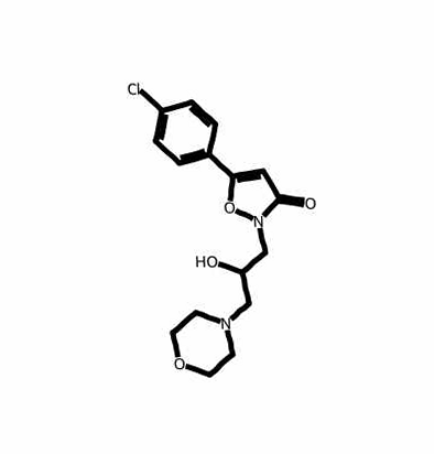 O=c1cc(-c2ccc(Cl)cc2)on1CC(O)CN1CCOCC1